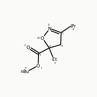 CCCCOC(=O)C1(CC)CC(C(C)C)=NO1